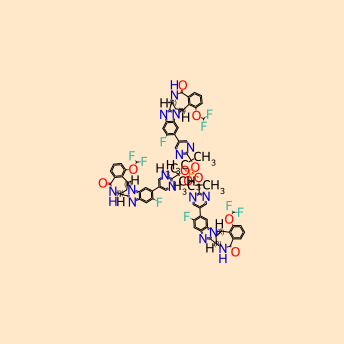 CC(C)(OP(=O)(OC(C)(C)c1ncc(-c2cc3c(cc2F)nc2n3[C@@H]3C[C@H]2NC(=O)c2cccc(OC(F)F)c23)cn1)OC(C)(C)c1ncc(-c2cc3c(cc2F)nc2n3[C@@H]3C[C@H]2NC(=O)c2cccc(OC(F)F)c23)cn1)c1ncc(-c2cc3c(cc2F)nc2n3[C@@H]3C[C@H]2NC(=O)c2cccc(OC(F)F)c23)cn1